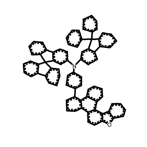 c1ccc(C2(c3ccccc3)c3ccccc3-c3ccc(N(c4ccc(-c5cccc6c7ccc8oc9ccccc9c8c7c7ccccc7c56)cc4)c4ccc5c(c4)C4(c6ccccc6-c6ccccc64)c4ccccc4-5)cc32)cc1